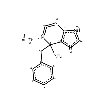 NC1(Cc2ccccc2)N=C=Nc2[nH]cnc21.[Tl].[Tl]